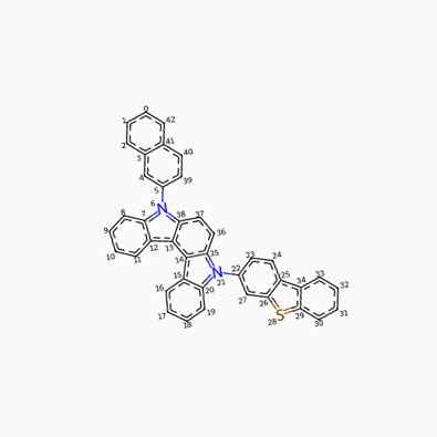 c1ccc2cc(-n3c4ccccc4c4c5c6ccccc6n(-c6ccc7c(c6)sc6ccccc67)c5ccc43)ccc2c1